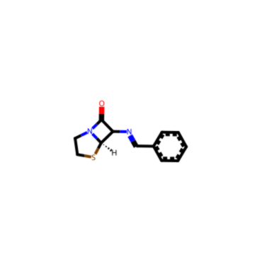 O=C1C(N=Cc2ccccc2)[C@H]2SCCN12